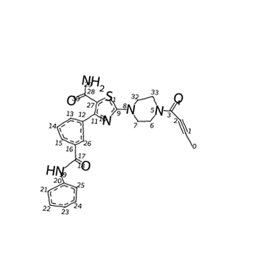 CC#CC(=O)N1CCN(c2nc(-c3cccc(C(=O)Nc4ccccc4)c3)c(C(N)=O)s2)CC1